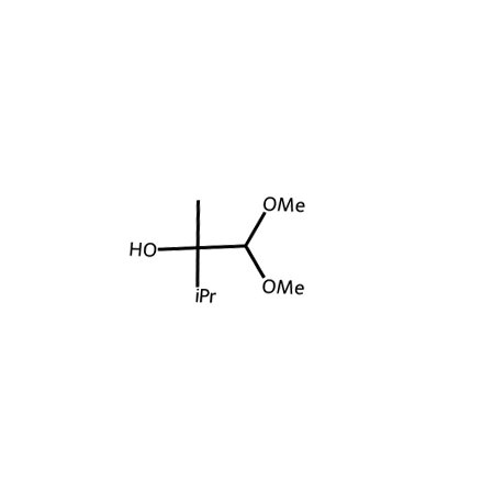 COC(OC)C(C)(O)C(C)C